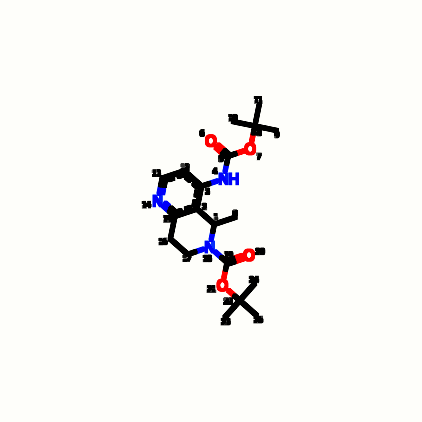 CC1c2c(NC(=O)OC(C)(C)C)ccnc2CCN1C(=O)OC(C)(C)C